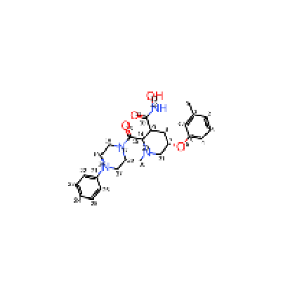 Cc1cccc(O[C@H]2CC(C(=O)NO)C(C(=O)N3CCN(c4ccccc4)CC3)N(C)C2)c1